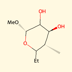 CCC1O[C@H](OC)C(O)[C@@H](O)[C@@H]1C